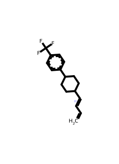 C=C/C=C/C1CCC(c2ccc(C(F)(F)F)cc2)CC1